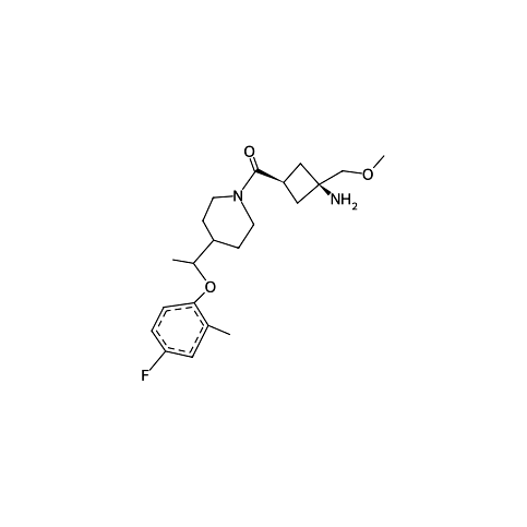 COC[C@]1(N)C[C@@H](C(=O)N2CCC(C(C)Oc3ccc(F)cc3C)CC2)C1